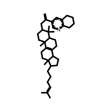 C=C(CC1CCC2(C)C3=C(CCC2C1(C)C)C1CCC(CCCC=C(C)C)C1(C)CC3)c1cnc2c(c1)CCCC2